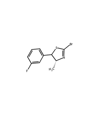 C[C@H]1N=C(Br)SC1c1cccc(F)c1